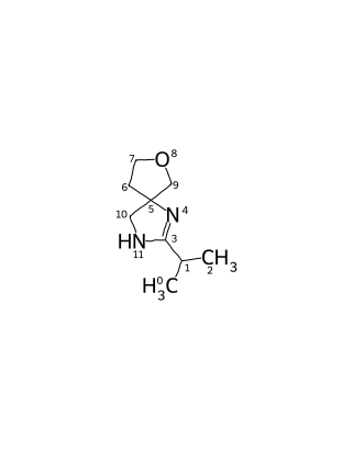 CC(C)C1=NC2(CCOC2)CN1